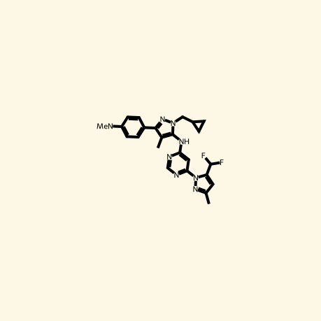 CNc1ccc(-c2nn(CC3CC3)c(Nc3cc(-n4nc(C)cc4C(F)F)ncn3)c2C)cc1